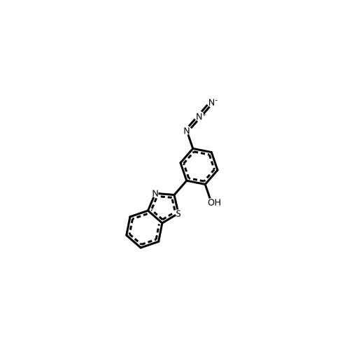 [N-]=[N+]=Nc1ccc(O)c(-c2nc3ccccc3s2)c1